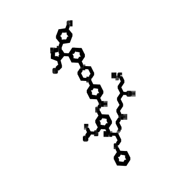 CCCC(O)CCCNCC[C@H](CSc1ccccc1)Nc1ccc(SNc2ccc(N3CCN(c4cccc(-c5c(C=O)cnn5-c5ccc(Cl)cc5)c4)CC3)cc2)cc1SC(=O)F